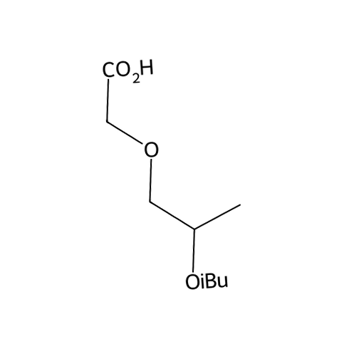 CC(C)COC(C)COCC(=O)O